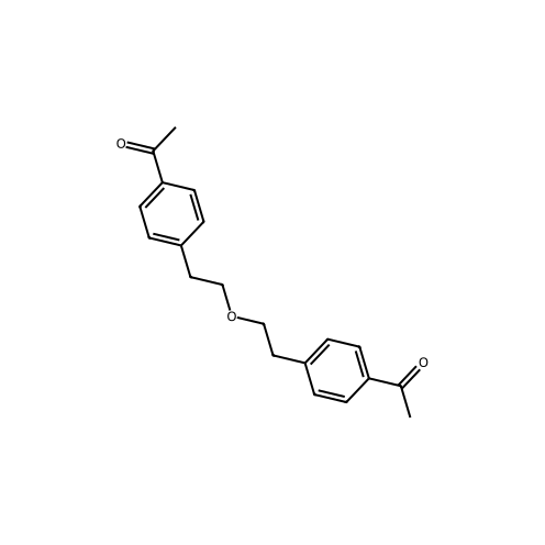 CC(=O)c1ccc(CCOCCc2ccc(C(C)=O)cc2)cc1